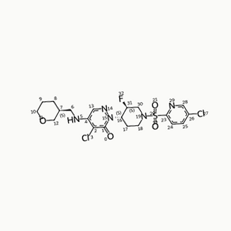 O=c1c(Cl)c(NC[C@@H]2CCCOC2)cnn1[C@H]1CCN(S(=O)(=O)c2ccc(Cl)cn2)C[C@@H]1F